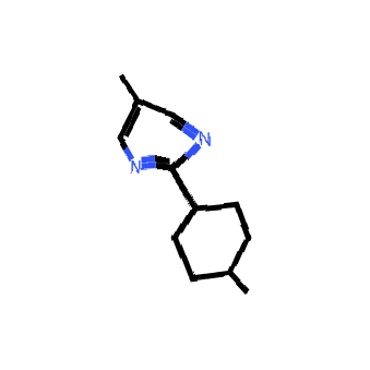 Cc1cnc(C2CCC(C)CC2)nc1